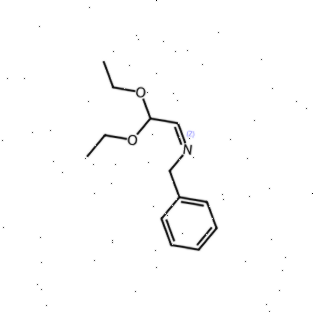 CCOC(/C=N\Cc1ccccc1)OCC